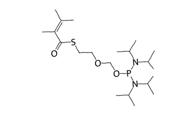 CC(C)=C(C)C(=O)SCCOCOP(N(C(C)C)C(C)C)N(C(C)C)C(C)C